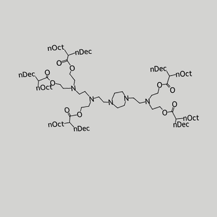 CCCCCCCCCCC(CCCCCCCC)C(=O)OCCN(CCOC(=O)C(CCCCCCCC)CCCCCCCCCC)CCN(CCOC(=O)C(CCCCCCCC)CCCCCCCCCC)CCN1CCN(CCN(CCOC(=O)C(CCCCCCCC)CCCCCCCCCC)CCOC(=O)C(CCCCCCCC)CCCCCCCCCC)CC1